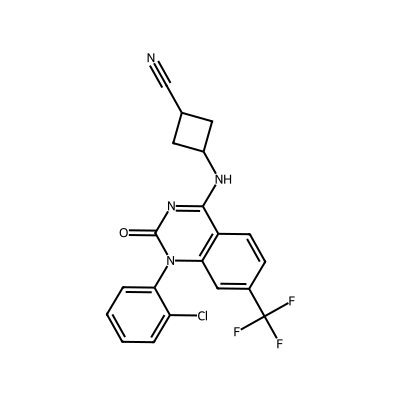 N#CC1CC(Nc2nc(=O)n(-c3ccccc3Cl)c3cc(C(F)(F)F)ccc23)C1